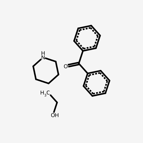 C1CCNCC1.CCO.O=C(c1ccccc1)c1ccccc1